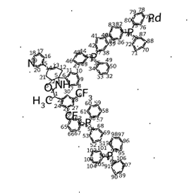 CC(C(=O)NC1(c2ccccc2)CC=C(c2cccnc2)CC1)c1cc(C(F)(F)F)cc(C(F)(F)F)c1.[Pd].c1ccc(P(c2ccccc2)c2ccccc2)cc1.c1ccc(P(c2ccccc2)c2ccccc2)cc1.c1ccc(P(c2ccccc2)c2ccccc2)cc1.c1ccc(P(c2ccccc2)c2ccccc2)cc1